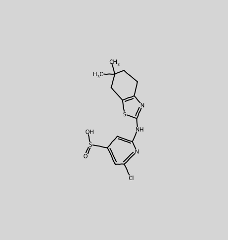 CC1(C)CCc2nc(Nc3cc(S(=O)O)cc(Cl)n3)sc2C1